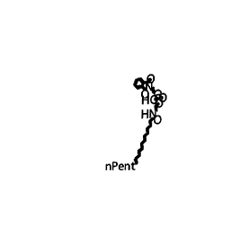 CCCCCC=CCC=CCCCCCCCC(=O)NCCOP(=O)(O)OCCN1C(=O)c2ccccc2C1=O